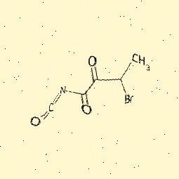 CC(Br)C(=O)C(=O)N=C=O